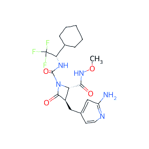 CONC(=O)[C@@H]1[C@@H](Cc2ccnc(N)c2)C(=O)N1C(=O)N[C@@H](C1CCCCC1)C(F)(F)F